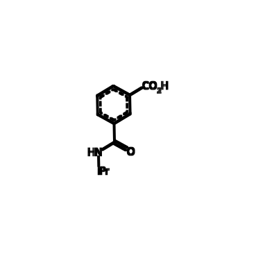 CC(C)NC(=O)c1cccc(C(=O)O)c1